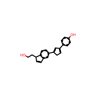 OCCC1C=Cc2cc(C3=CC(c4ccc(O)cc4)=CC3)ccc21